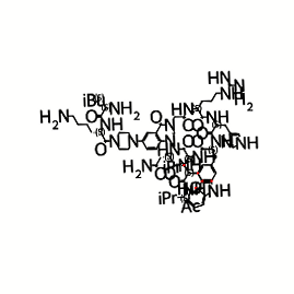 CC[C@H](C)[C@H](N)C(=O)N[C@@H](CCCCN)C(=O)N1CCN(c2ccc3ncn(CC(=O)N[C@@H](CCCNC(=N)N)C(=O)N[C@@H](Cc4c[nH]cn4)C(=O)N[C@@H](Cc4ccc(O)cc4)C(=O)N[C@@H](CC(C)C)C(=O)N[C@@H](CC(N)=O)C(=O)N[C@@H](Cc4c[nH]c5ccccc45)C(=O)N[C@H](C(C)=O)C(C)C)c(=O)c3c2)CC1